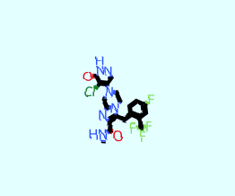 CNC(=O)c1nc2n(c1Cc1ccc(F)cc1C(F)(F)F)CCN(c1cn[nH]c(=O)c1Cl)C2